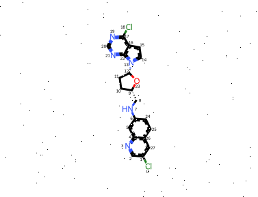 Clc1cnc2cc(NC[C@@H]3CC[C@H](n4ccc5c(Cl)ncnc54)O3)ccc2c1